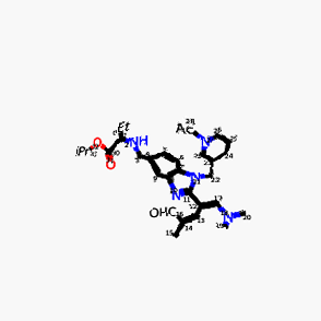 CCC(NCc1ccc2c(c1)nc(C(/C=C(/C)C=O)=C/N(C)C)n2C[C@@H]1CCCN(C(C)=O)C1)C(=O)OC(C)C